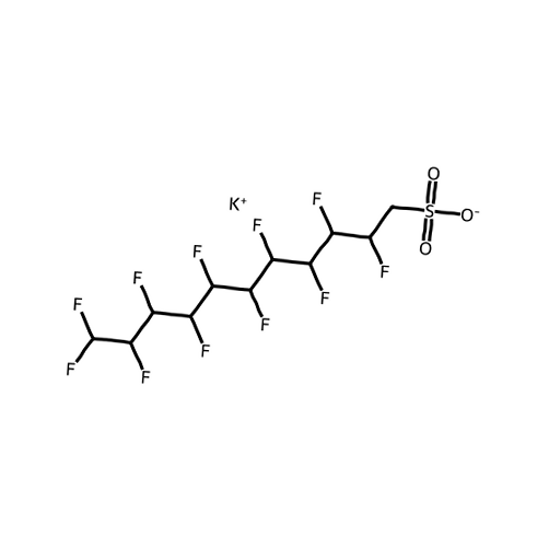 O=S(=O)([O-])CC(F)C(F)C(F)C(F)C(F)C(F)C(F)C(F)C(F)C(F)F.[K+]